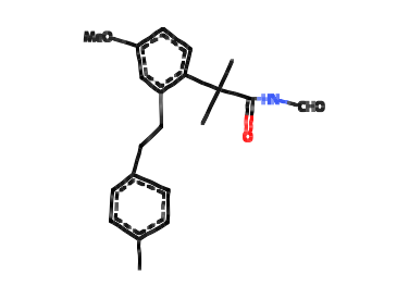 COc1ccc(C(C)(C)C(=O)NC=O)c(CCc2ccc(C)cc2)c1